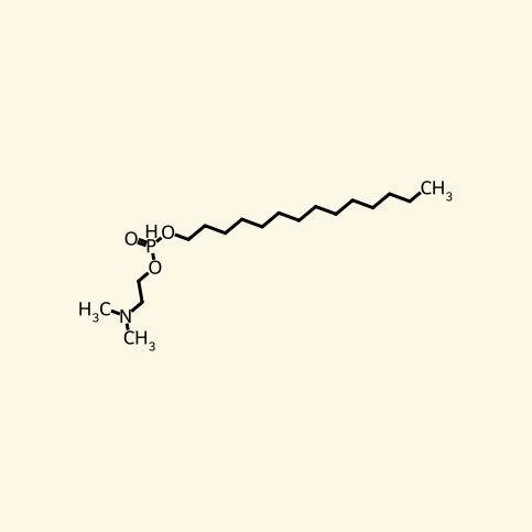 CCCCCCCCCCCCCCO[PH](=O)OCCN(C)C